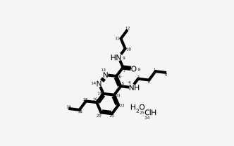 CCCCNc1c(C(=O)NCCC)nnc2c(CCC)cccc12.Cl.O